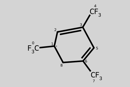 FC(F)(F)[C]1C=C(C(F)(F)F)C=C(C(F)(F)F)C1